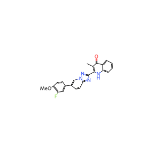 COc1ccc(-c2ccc3nc(-c4[nH]c5ccccc5c(=O)c4C)nn3c2)cc1F